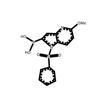 COc1ccc2c(cc(B(O)O)n2S(=O)(=O)c2ccccc2)n1